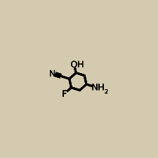 N#CC1C(O)CC(N)CC1F